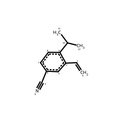 C=[C]c1cc(C#N)ccc1C(C)C